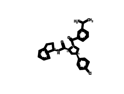 CC(N)c1cccc(C(=O)N2C[C@@H](c3ccc(Cl)cc3)C[C@H]2C(=O)N[C@@H]2CCc3ccccc32)c1